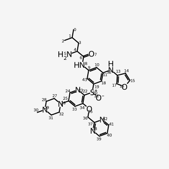 CC(C)CC(N)C(=O)Nc1cc(Nc2ccoc2)cc([S+]([O-])c2ncc(N3CCN(C)CC3)cc2OCc2ncccn2)c1